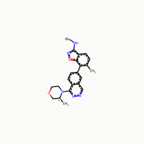 Cc1ccc2c(NC(C)(C)C)noc2c1-c1ccc2c(N3CCOC[C@@H]3C)nncc2c1